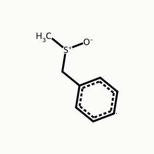 C[S+]([O-])Cc1cc[c]cc1